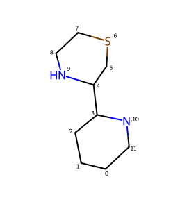 C1CCC(C2CSCCN2)[N]C1